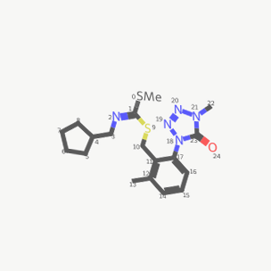 CS/C(=N/CC1CCCC1)SCc1c(C)cccc1-n1nnn(C)c1=O